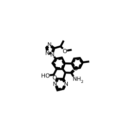 COC(C)c1ncnn1-c1cc(C(=O)O)c(C(C(N)=O)c2cnccn2)c(-c2ccc(C)cc2)c1